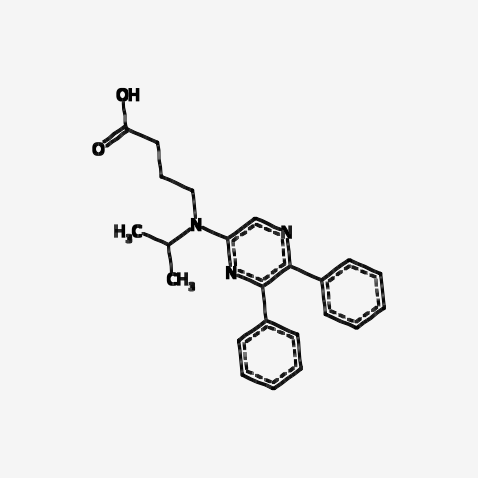 CC(C)N(CCCC(=O)O)c1cnc(-c2ccccc2)c(-c2ccccc2)n1